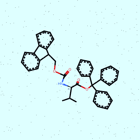 CC(C)[C@@H](NC(=O)OCC1c2ccccc2-c2ccccc21)C(=O)OC(c1ccccc1)(c1ccccc1)c1ccccc1